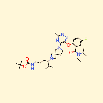 CCN(C(=O)c1cc(F)ccc1Oc1nnc(C)nc1N1CCC2(C1)CN([C@H](CCCNC(=O)OC(C)(C)C)C(C)C)C2)C(C)C